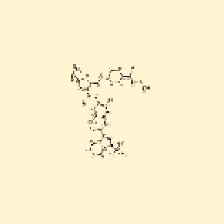 [2H]C([2H])([2H])n1cc(C(=O)Nc2cc(Cl)c(CC(=O)N3C[C@@H](OC)C[C@H]3COC3CCC(C(=O)OCC)CC3)cc2Cl)c2ccccc21